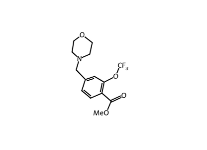 COC(=O)c1ccc(CN2CCOCC2)cc1OC(F)(F)F